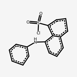 O=S(=O)(Cl)c1cccc2cccc(Nc3ccccc3)c12